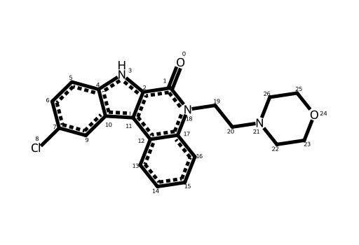 O=c1c2[nH]c3ccc(Cl)cc3c2c2ccccc2n1CCN1CCOCC1